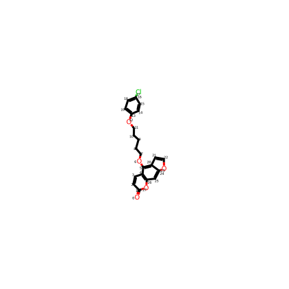 O=c1ccc2c(OCCCCCOc3ccc(Cl)cc3)c3ccoc3cc2o1